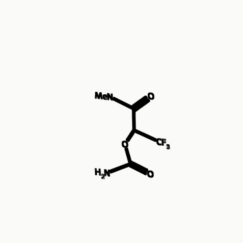 CNC(=O)C(OC(N)=O)C(F)(F)F